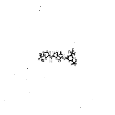 CC(C)[C@]1(C(=O)NCc2cc(C(F)(F)F)cc(C(F)(F)F)c2)CC[C@@H](NC2CCCN(S(C)(=O)=O)C2)C1